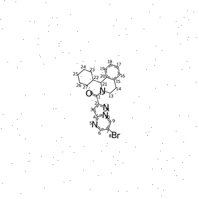 O=C(c1cc2ncc(Br)cn2n1)N1CCc2ccccc2C1C1CCCCC1